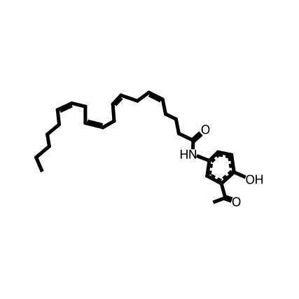 CCCCC/C=C\C/C=C\C/C=C\C/C=C\CCCC(=O)Nc1ccc(O)c(C(C)=O)c1